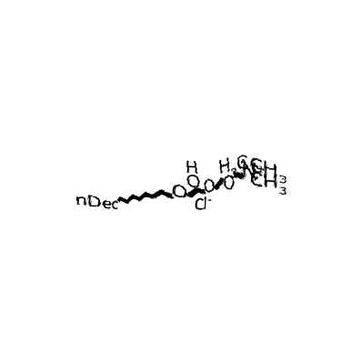 CCCCCCCCCCCCCCCCCCOCC(O)COCCOCC[N+](C)(C)C.[Cl-]